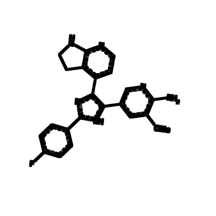 COc1cc(-c2[nH]c(-c3ccc(F)cc3)nc2-c2ccnc3c2CCN3)cnc1N